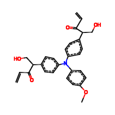 C=CC(=O)C(CO)c1ccc(N(c2ccc(OC)cc2)c2ccc(C(CO)C(=O)C=C)cc2)cc1